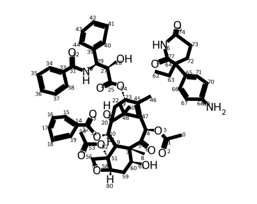 CC(=O)O[C@H]1C(=O)[C@@]2(C)[C@H]([C@H](OC(=O)c3ccccc3)[C@]3(O)C[C@H](OC(=O)[C@H](O)[C@@H](NC(=O)c4ccccc4)c4ccccc4)C(C)=C1C3(C)C)[C@]1(OC(C)=O)CO[C@@H]1C[C@@H]2O.CCC1(c2ccc(N)cc2)CCC(=O)NC1=O